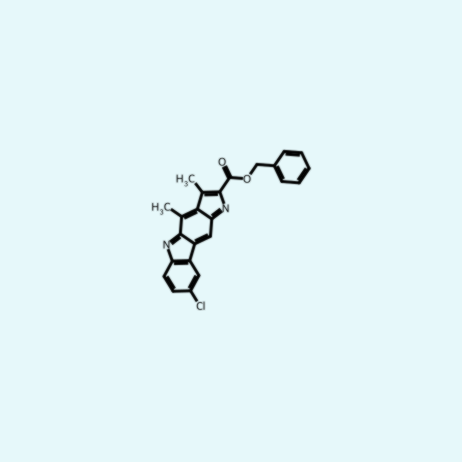 CC1=C(C(=O)OCc2ccccc2)N=c2cc3c(c(C)c21)=Nc1ccc(Cl)cc1-3